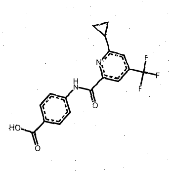 O=C(O)c1ccc(NC(=O)c2cc(C(F)(F)F)cc(C3CC3)n2)cc1